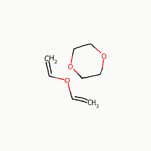 C1COCCO1.C=COC=C